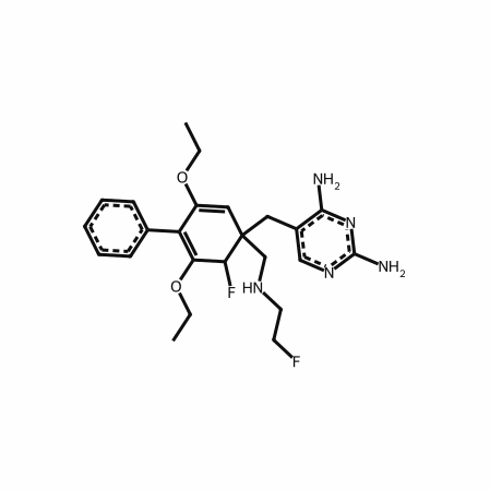 CCOC1=CC(CNCCF)(Cc2cnc(N)nc2N)C(F)C(OCC)=C1c1ccccc1